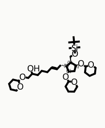 CC(C)(C)[Si](C)(C)OC[C@@H]1[C@@H](CC=CCCCC(O)COC2CCCCO2)[C@@H](OC2CCCCO2)C[C@H]1OC1CCCCO1